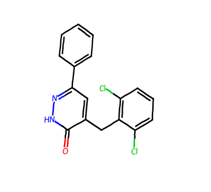 O=c1[nH]nc(-c2ccccc2)cc1Cc1c(Cl)cccc1Cl